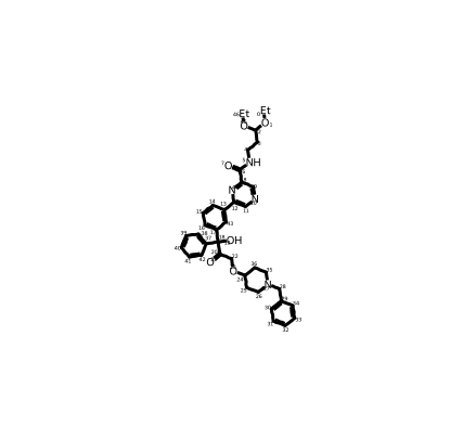 CCOC(CCNC(=O)c1cncc(-c2cccc(C(O)(C(=O)COC3CCN(Cc4ccccc4)CC3)c3ccccc3)c2)n1)OCC